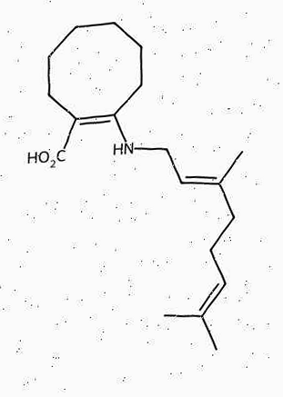 CC(C)=CCC/C(C)=C/CN/C1=C(\C(=O)O)CCCCCC1